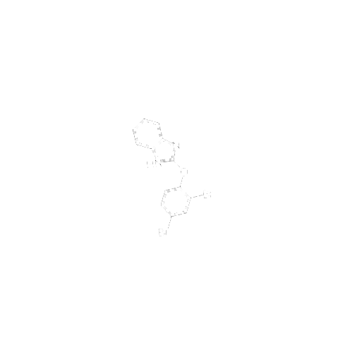 Brc1ccc(Oc2nc3ccccc3[nH]2)c(Br)c1